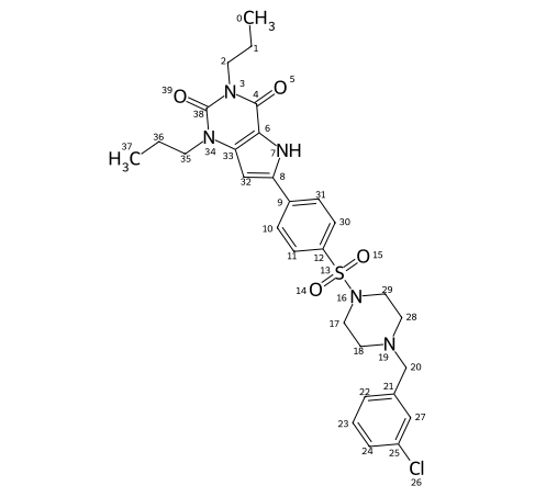 CCCn1c(=O)c2[nH]c(-c3ccc(S(=O)(=O)N4CCN(Cc5cccc(Cl)c5)CC4)cc3)cc2n(CCC)c1=O